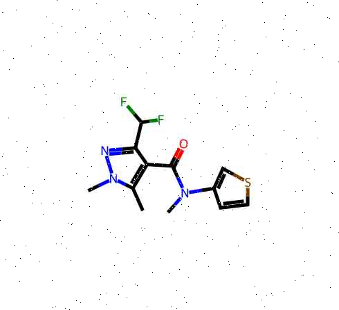 Cc1c(C(=O)N(C)c2ccsc2)c(C(F)F)nn1C